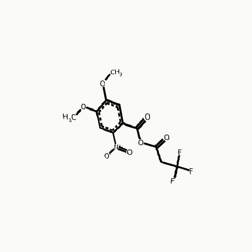 COc1cc(C(=O)OC(=O)CC(F)(F)F)c([N+](=O)[O-])cc1OC